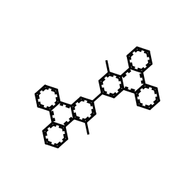 Cc1cc(-c2cc(C)c3c4ccccc4c4ccccc4c3c2)cc2c3ccccc3c3ccccc3c12